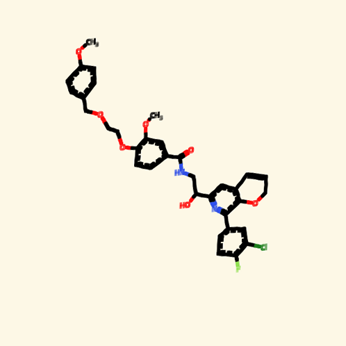 COc1ccc(COCCOc2ccc(C(=O)NCC(O)c3cc4c(c(-c5ccc(F)c(Cl)c5)n3)OCC=C4)cc2OC)cc1